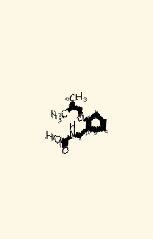 CC(C)COc1ccccc1CNC(=O)O